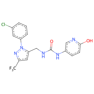 O=C(NCc1cc(C(F)(F)F)nn1-c1cccc(Cl)c1)Nc1ccc(O)nc1